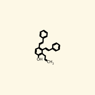 C=CCc1c(O)ccc(C=Cc2ccccc2)c1C=Cc1ccccc1